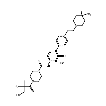 CC1(N)CCN(CCc2ccc(-n3ccc(NC(=O)N4CCN(C(=O)C(C)(N)CO)CC4)nc3=O)cc2)CC1.Cl